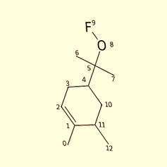 CC1=CCC(C(C)(C)OF)CC1C